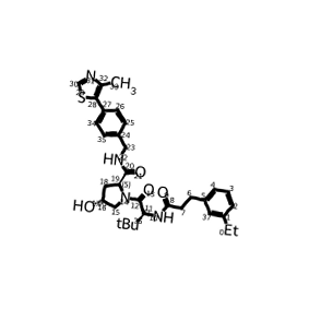 CCc1cccc(CCC(=O)N[C@H](C(=O)N2C[C@H](O)C[C@H]2C(=O)NCc2ccc(-c3scnc3C)cc2)C(C)(C)C)c1